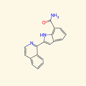 NC(=O)c1cccc2cc(-c3nccc4ccccc34)[nH]c12